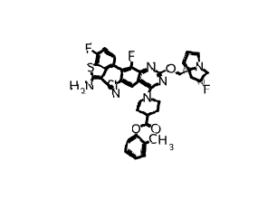 Cc1ccccc1OC(=O)C1CCN(c2nc(OC[C@@]34CCCN3C[C@H](F)C4)nc3c(F)c(-c4ccc(F)c5sc(N)c(C#N)c45)c(Cl)cc23)CC1